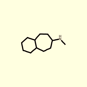 CNC1CCC2CCCCC2CC1